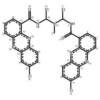 CCC(NC(=O)c1cccc2nc3cc(Cl)ccc3nc12)N(C)C(CC)NC(=O)c1cccc2nc3cc(Cl)ccc3nc12